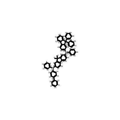 CC1(C)c2cc(N(c3ccccc3)c3ccc(-c4ccccc4)cc3)ccc2-c2ccc(N(c3ccccc3)c3ccc4c(c3)C(c3ccccc3)(c3ccccc3)c3ccccc3-4)cc21